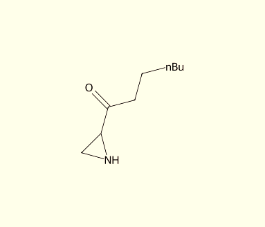 CCCCCCC(=O)C1CN1